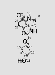 C[C@H](CCNC(=O)COc1ccc(CO)cc1)N(C)c1ccccc1C(F)(F)F